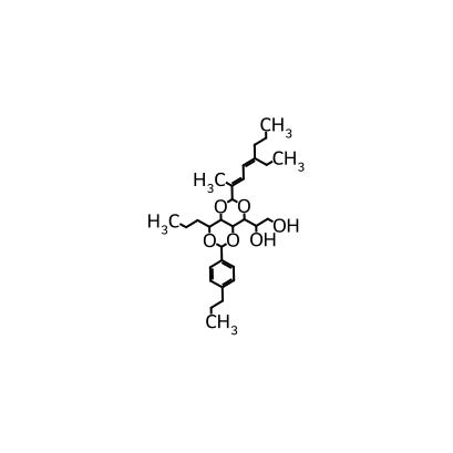 CCC/C(=C/C=C(\C)C1OC(C(O)CO)C2OC(c3ccc(CCC)cc3)OC(CCC)C2O1)CC